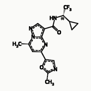 Cc1ncc(-c2cc(C)n3ncc(C(=O)N[C@@H](C4CC4)C(F)(F)F)c3n2)o1